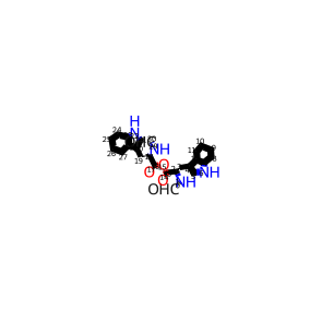 O=CN[C@@H](Cc1c[nH]c2ccccc12)C(=O)OC(=O)[C@H](Cc1c[nH]c2ccccc12)NC=O